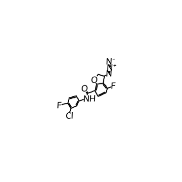 [N-]=[N+]=NC1COc2c(C(=O)Nc3ccc(F)c(Cl)c3)ccc(F)c21